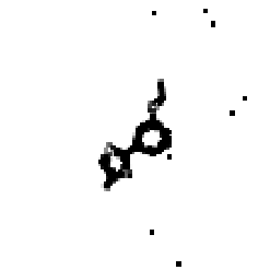 CCOc1cccc(-c2nc(C)co2)c1